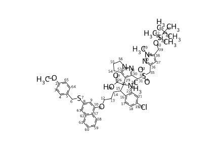 COc1ccc(CSc2cc(OCCCC3c4ccc(Cl)cc4N(C)C3(C(=O)O)c3c(CS(=O)(=O)Cc4cc(CO[Si](C)(C)C(C)(C)C)n(C)n4)nn4c3CCC4)c3ccccc3c2)cc1